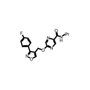 CC(C)NC(=O)c1cnc(OCc2conc2-c2ccc(F)cc2)cn1